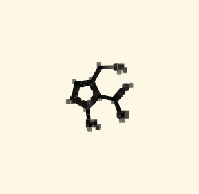 CCc1csc(N)c1C(=O)O